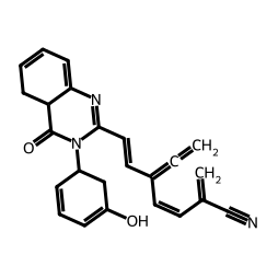 C=C=C(/C=C\C(=C)C#N)/C=C/C1=NC2=CC=CCC2C(=O)N1C1C=CC=C(O)C1